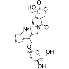 CC[C@@]1(O)C(=O)OCc2c1cc1n(c2=O)Cc2c-1nc1ccccc1c2CO[C@@H]1C=C[C@H](O)[C@@H](CO)O1